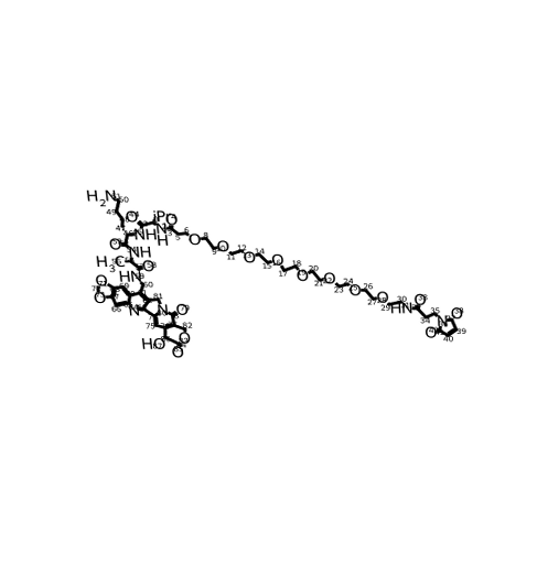 CC(C)[C@H](NC(=O)CCOCCOCCOCCOCCOCCOCCOCCOCCNC(=O)CCN1C(=O)C=CC1=O)C(=O)N[C@@H](CCCCN)C(=O)N[C@H](C)C(=O)NCc1c2c(nc3cc4c(cc13)OCO4)-c1cc3c(c(=O)n1C2)COC(=O)[C@H]3O